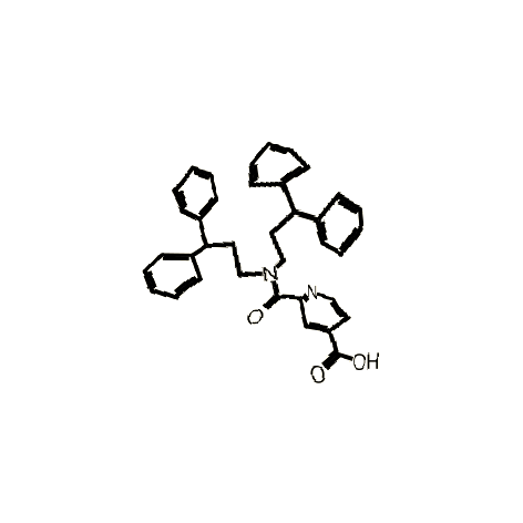 O=C(O)c1ccnc(C(=O)N(CCC(c2ccccc2)c2ccccc2)CCC(c2ccccc2)c2ccccc2)c1